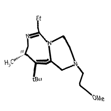 CCC1=N[C@@H](C)C(C(C)(C)C)=C2CN(CCOC)CCN12